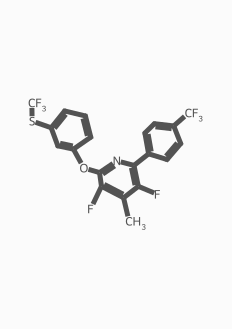 Cc1c(F)c(Oc2cccc(SC(F)(F)F)c2)nc(-c2ccc(C(F)(F)F)cc2)c1F